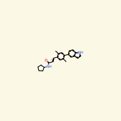 Cc1cc(-c2ccc3[nH]ccc3c2)c(C)cc1/C=C/C(=O)NC1CCCC1